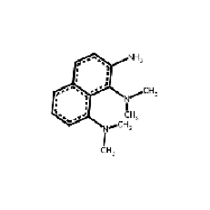 CN(C)c1cccc2ccc(N)c(N(C)C)c12